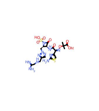 CC(C)(O/N=C(\C(=O)N[C@@H]1C(=O)N(S(=O)(=O)O)[C@@H]1Cn1ncc(CNCC(=N)N)n1)c1csc(N)n1)C(=O)O